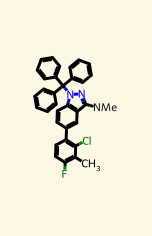 CNc1nn(C(c2ccccc2)(c2ccccc2)c2ccccc2)c2ccc(-c3ccc(F)c(C)c3Cl)cc12